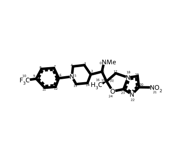 CNC(C1CCN(c2ccc(C(F)(F)F)cc2)CC1)[C@]1(C)Cn2cc([N+](=O)[O-])nc2O1